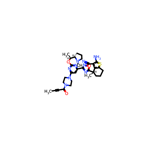 CC#CC(=O)N1CCN(c2cc(-c3noc([C@@]4(C)CCCc5sc(N)c(C#N)c54)n3)nc(O[C@@H](C)[C@@H]3CCCN3C)n2)CC1